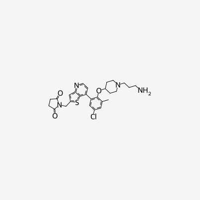 Cc1cc(Cl)cc(-c2ccnc3cc(CN4C(=O)CCC4=O)sc23)c1OC1CCN(CCCN)CC1